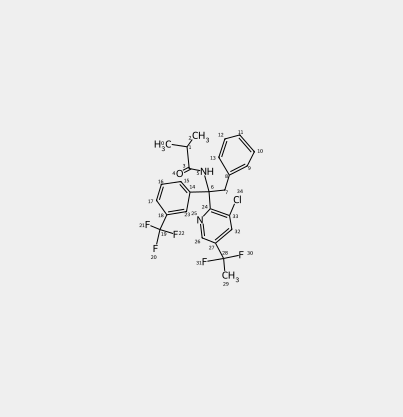 CC(C)C(=O)NC(Cc1ccccc1)(c1cccc(C(F)(F)F)c1)c1ncc(C(C)(F)F)cc1Cl